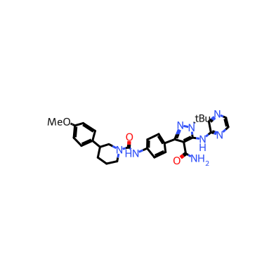 COc1ccc(C2CCCN(C(=O)Nc3ccc(-c4nn(C(C)(C)C)c(Nc5cnccn5)c4C(N)=O)cc3)C2)cc1